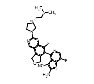 CN(C)CC[C@H]1CCN(c2ncc3c4c(c(-c5ncc(F)c6sc(N)c(C#N)c56)c(F)c3n2)COC4)C1